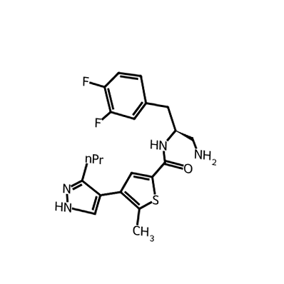 CCCc1n[nH]cc1-c1cc(C(=O)N[C@H](CN)Cc2ccc(F)c(F)c2)sc1C